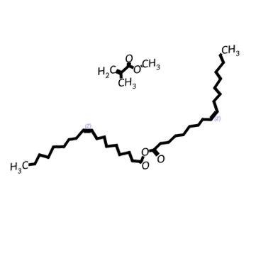 C=C(C)C(=O)OC.CCCCCCCC/C=C\CCCCCCCC(=O)OC(=O)CCCCCCC/C=C\CCCCCCCC